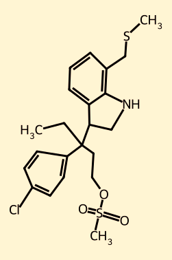 CCC(CCOS(C)(=O)=O)(c1ccc(Cl)cc1)C1CNc2c(CSC)cccc21